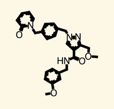 COCc1nn(Cc2ccc(Cn3ccccc3=O)cc2)cc1C(=O)NCc1cccc(OC)c1